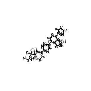 CC(C)(F)C1CN(c2ncc(-c3ccc(-n4cccn4)c4[nH]ncc34)nn2)CCN1